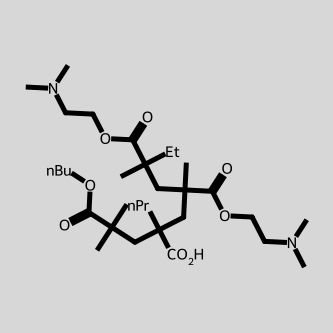 CCCCOC(=O)C(C)(C)CC(CCC)(CC(C)(CC(C)(CC)C(=O)OCCN(C)C)C(=O)OCCN(C)C)C(=O)O